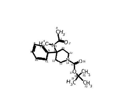 CC(=O)N(C)C1(c2ccccc2)CCN(C(=O)OC(C)(C)C)CC1